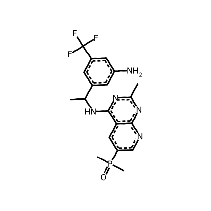 Cc1nc(NC(C)c2cc(N)cc(C(F)(F)F)c2)c2cc(P(C)(C)=O)cnc2n1